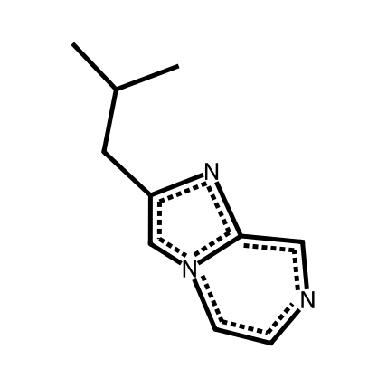 CC(C)Cc1cn2ccncc2n1